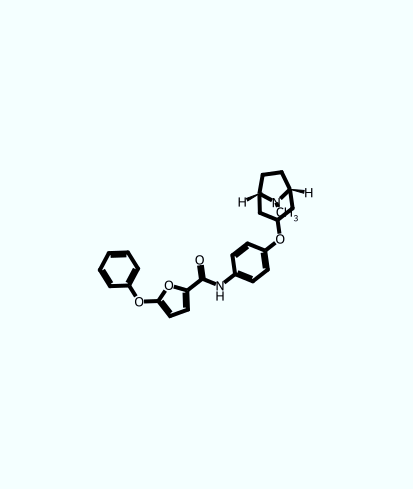 CN1[C@@H]2CC[C@H]1CC(Oc1ccc(NC(=O)c3ccc(Oc4ccccc4)o3)cc1)C2